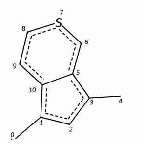 [CH2]c1cc(C)c2csccc1-2